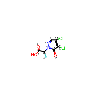 O=C(O)C(F)n1ncc(Cl)c(Cl)c1=O